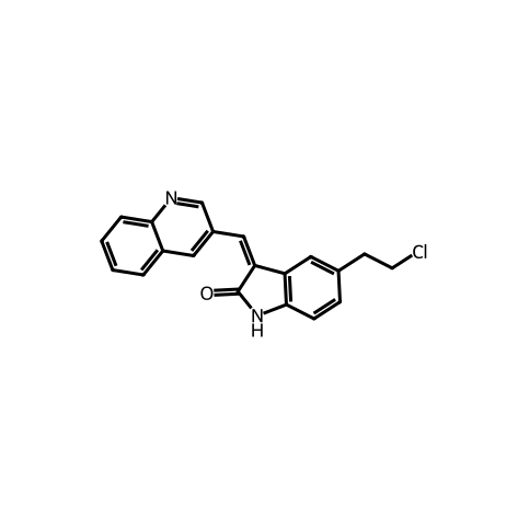 O=C1Nc2ccc(CCCl)cc2C1=Cc1cnc2ccccc2c1